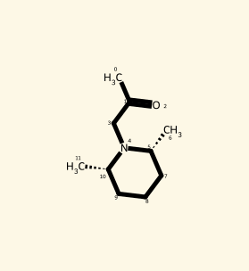 CC(=O)CN1[C@H](C)CCC[C@@H]1C